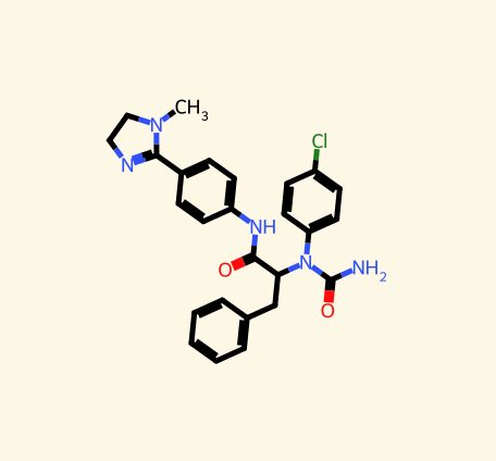 CN1CCN=C1c1ccc(NC(=O)C(Cc2ccccc2)N(C(N)=O)c2ccc(Cl)cc2)cc1